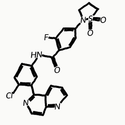 O=C(Nc1ccc(Cl)c(-c2nccc3ncccc23)c1)c1ccc(N2CCCS2(=O)=O)cc1F